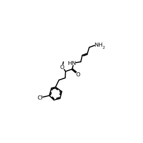 COC(CCc1cccc(Cl)c1)C(=O)NCC=CCN